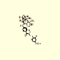 COc1ccc(CCN2CCc3cc(N/C(=N/[C@H]4C[C@H]5C[C@@H]([C@@H]4C)C5(C)C)N4CCN[C@@H](C)C4)ccc3C2=O)c(F)c1